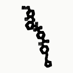 COc1ccc(Oc2ccccc2NS(=O)(=O)c2ccc(C(=O)NC3CCC(CCN4CCCC4)CC3)cc2)c(Cl)c1